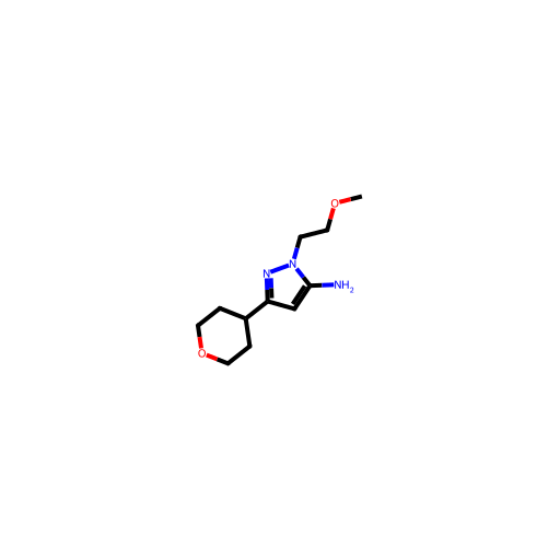 COCCn1nc(C2CCOCC2)cc1N